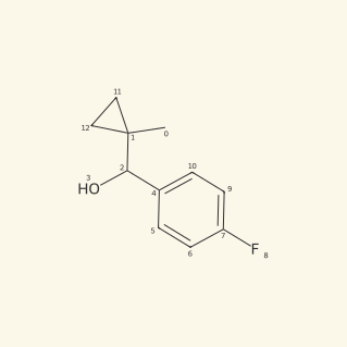 CC1(C(O)c2ccc(F)cc2)CC1